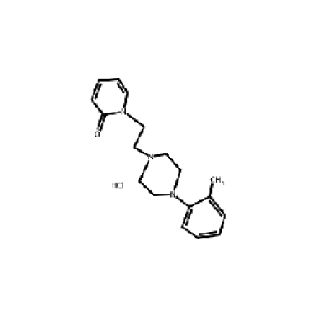 Cc1ccccc1N1CCN(CCn2ccccc2=O)CC1.Cl